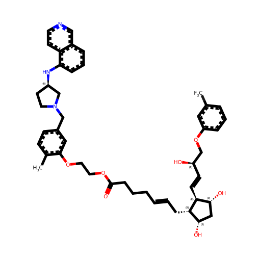 Cc1ccc(CN2CC[C@@H](Nc3cccc4cnccc34)C2)cc1OCCOC(=O)CCCC=CC[C@@H]1[C@@H](C=C[C@@H](O)COc2cccc(C(F)(F)F)c2)[C@H](O)C[C@@H]1O